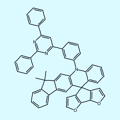 CC1(C)c2ccccc2-c2cc3c(cc21)N(c1cccc(-c2cc(-c4ccccc4)nc(-c4ccccc4)n2)c1)c1ccccc1C31c2ccoc2-c2occc21